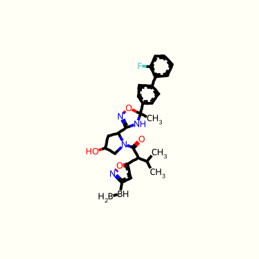 BBc1cc(C(C(=O)N2CC(O)CC2C2=NOC(C)(c3ccc(-c4ccccc4F)cc3)N2)C(C)C)on1